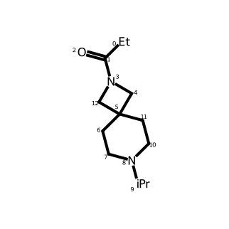 CCC(=O)N1CC2(CCN(C(C)C)CC2)C1